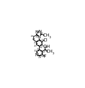 Cc1nnc2n1-c1c(Cl)cc(-c3cncc(F)c3C(C)O)cc1CC2